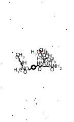 COCCNCCN(C)C(=O)OCc1ccc(CC(=O)[C@H](CCCNC(N)=O)NC(=O)[C@@H](NC(=O)OC(C)(C)C)C(C)C)cc1